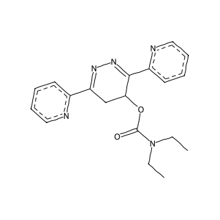 CCN(CC)C(=O)OC1CC(c2ccccn2)=NN=C1c1ccccn1